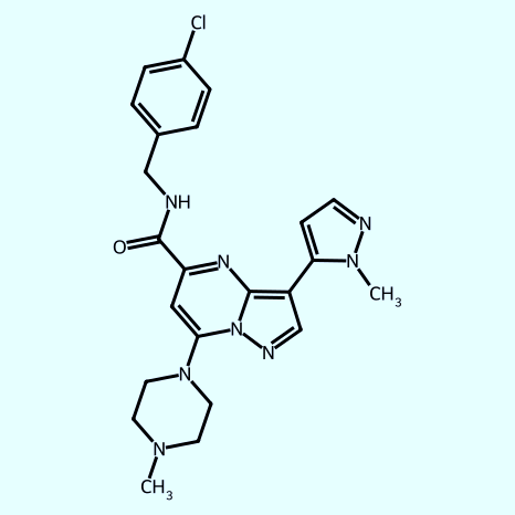 CN1CCN(c2cc(C(=O)NCc3ccc(Cl)cc3)nc3c(-c4ccnn4C)cnn23)CC1